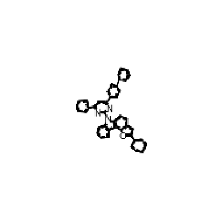 c1ccc(-c2ccc(-c3cc(-c4ccccc4)nc(-n4c5ccccc5c5c6oc(-c7ccccc7)cc6ccc54)n3)cc2)cc1